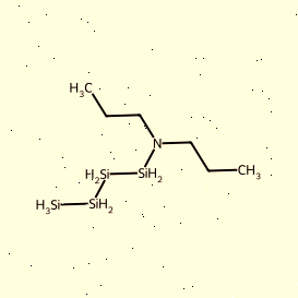 CCCN(CCC)[SiH2][SiH2][SiH2][SiH3]